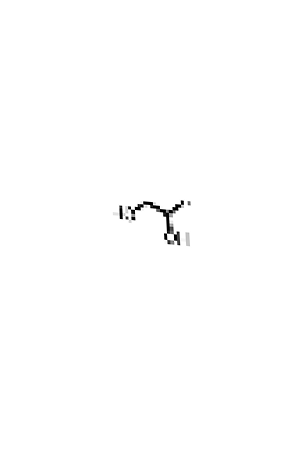 [CH2]C(O)[CH]O